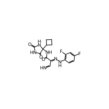 N=C/C(=N\Nc1ccc(F)cc1F)C(=O)NC1(C2CCC2)NC(=O)NC1=O